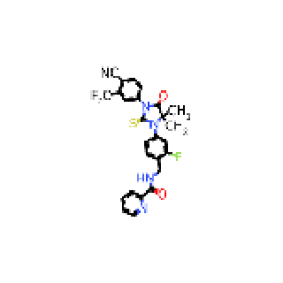 CC1(C)C(=O)N(c2ccc(C#N)c(C(F)(F)F)c2)C(=S)N1c1ccc(CNC(=O)c2ccccn2)c(F)c1